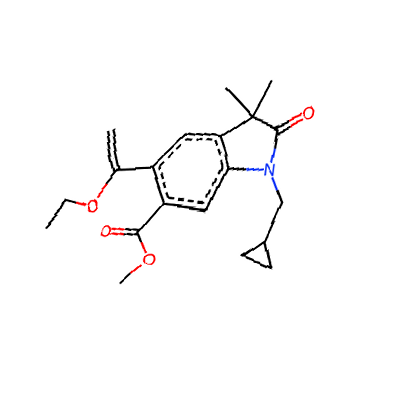 C=C(OCC)c1cc2c(cc1C(=O)OC)N(CC1CC1)C(=O)C2(C)C